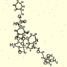 CC(C)OC1(c2cn(COCC[Si](C)(C)C)c3nccc(Oc4c(F)cc(NC(=O)OCc5ccccc5)cc4F)c23)COC1